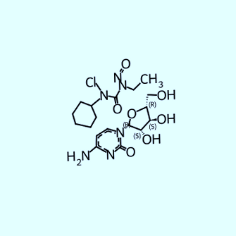 CCN(N=O)C(=O)N(Cl)C1CCCCC1.Nc1ccn([C@@H]2O[C@H](CO)[C@@H](O)[C@@H]2O)c(=O)n1